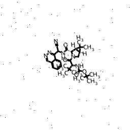 CC(C)(C)OC(=O)NC(C(=O)N1C[C@H]2[C@@H]([C@H]1C(=O)NC(C#N)c1nncc3ccccc13)C2(C)C)C(C)(C)C